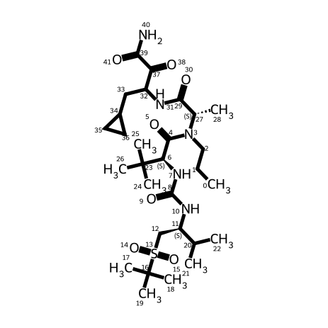 CCCN(C(=O)[C@@H](NC(=O)N[C@H](CS(=O)(=O)C(C)(C)C)C(C)C)C(C)(C)C)[C@@H](C)C(=O)NC(CC1CC1)C(=O)C(N)=O